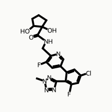 Cn1nnc(-c2c(F)cc(Cl)cc2-c2cnc(CNC(=O)C3(O)CCCC3O)c(F)c2)n1